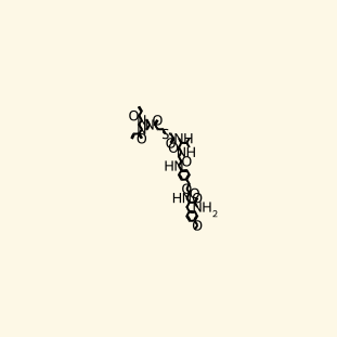 C=CC(=O)N1CN(C(=O)C=C)CN(C(=O)CCSCC(=O)NC(C(=O)NCC(=O)Nc2ccc(COC(=O)NC(Cc3ccc(OC)cc3)C(N)=O)cc2)C(C)C)C1